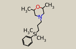 CC1CN(CCC[Si](C)(C)c2ccccc2)CC(C)O1